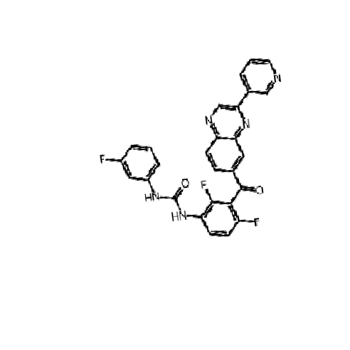 O=C(Nc1cccc(F)c1)Nc1ccc(F)c(C(=O)c2ccc3ncc(-c4cccnc4)nc3c2)c1F